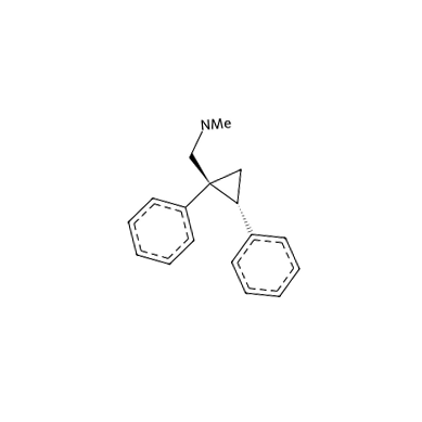 CNC[C@@]1(c2ccccc2)C[C@@H]1c1ccccc1